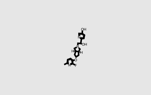 Cc1ccc(O[C@@H]2C[C@@H]3CN(CC(O)c4ccc(O)cn4)C[C@@H]3C2)c(F)n1